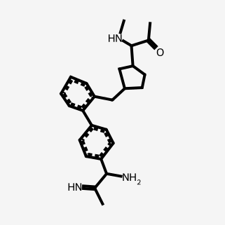 CNC(C(C)=O)C1CCC(Cc2ccccc2-c2ccc(C(N)C(C)=N)cc2)C1